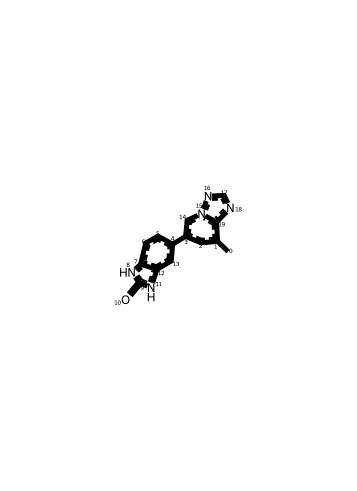 Cc1cc(-c2ccc3[nH]c(=O)[nH]c3c2)cn2ncnc12